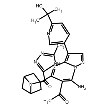 CC(=O)c1c(C2CC3CC(C2)N3C(=O)c2nnc(C)[nH]2)nc2c(-c3ccc(C(C)(C)O)nc3)cnn2c1N